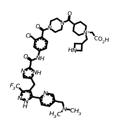 CN(C)Cc1ccc(-c2[nH]nc(C(F)(F)F)c2Cc2cnc(C(=O)Nc3ccc(C(=O)N4CCN(C(=O)C5CC[N+](CC(=O)O)(CC6CNC6)CC5)CC4)c(Cl)c3)[nH]2)nc1